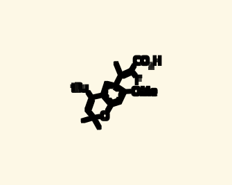 COc1cc2c(cc1C(C)=C(F)C(=O)O)C(C(C)(C)C)=CC(C)(C)O2